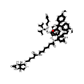 CCCCCCN(O[C@@H]1[C@H](OP(OCCC#N)N(C(C)C)C(C)C)[C@@H](COC(c2ccccc2)(c2ccc(OC)cc2)c2ccc(OC)cc2)O[C@H]1n1ccc(=O)[nH]c1=O)C(=O)CCCCCNC(=O)CCCC[C@@H]1SC[C@@H]2NC(=O)N[C@@H]21